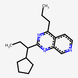 CCCc1nc(C(CC)C2CCCC2)nc2cnccc12